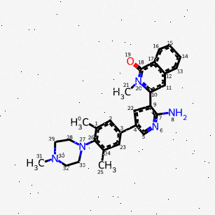 Cc1cc(-c2cnc(N)c(-c3cc4ccccc4c(=O)n3C)c2)cc(C)c1N1CCN(C)CC1